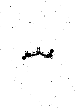 O=c1cc(-c2ccccc2)oc2cc(OCCOCCN3C=C(COCCOc4ccc5c(=O)cc(-c6ccccc6)oc5c4)NN3)ccc12